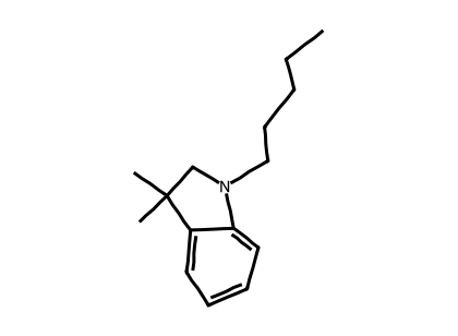 CCCCCN1CC(C)(C)c2ccccc21